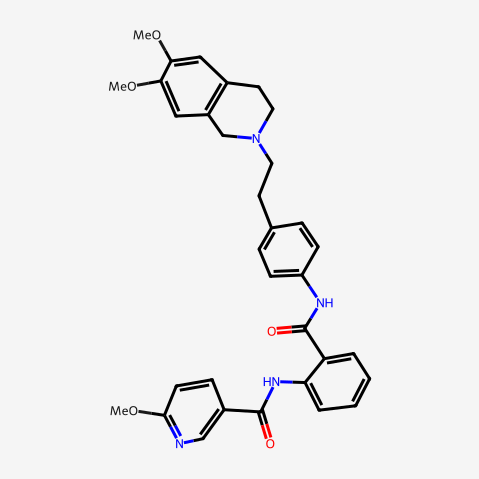 COc1ccc(C(=O)Nc2ccccc2C(=O)Nc2ccc(CCN3CCc4cc(OC)c(OC)cc4C3)cc2)cn1